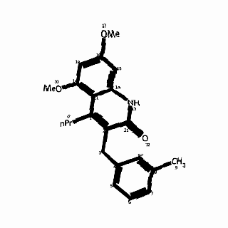 CCCc1c(Cc2cccc(C)c2)c(=O)[nH]c2cc(OC)cc(OC)c12